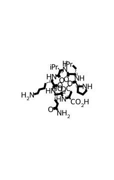 CC(C)C[C@H](NC(=O)[C@@H]1CCCN1)C(=O)N[C@H](C(=O)N[C@@H](CCCCN)C(=O)N[C@@H](CCC(N)=O)C(=O)N[C@@H](CC(=O)O)C(=O)O)C(C)C